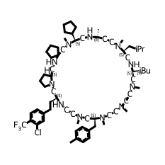 CC[C@H](C)[C@H]1CN(C)CCN(C)CCN(C)[C@@H](Cc2ccc(C)cc2)CN(C)CCN[C@@H](CCc2ccc(C(F)(F)F)c(Cl)c2)CN2CCC[C@H]2CNC2(CCCC2)CN(C)[C@@H](C2CCCC2)CN[C@H](C)CCN(C)[C@@H](CC(C)C)CN1